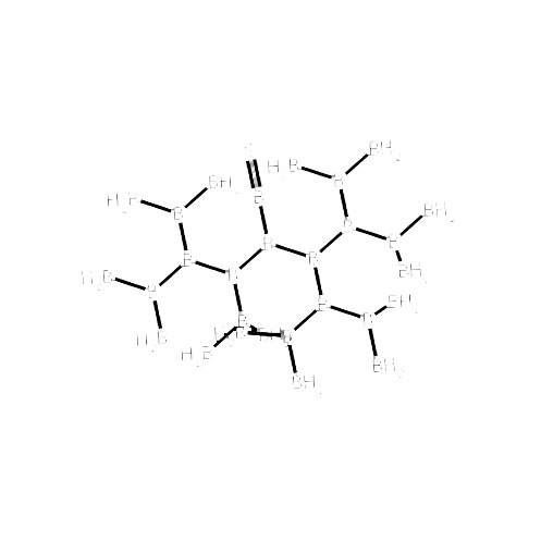 BB(B)B(B(B)B)B(B(B)B)B(B=S)B(B(B(B)B)B(B)B)B(B(B)B)B(B)B